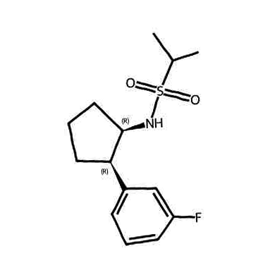 CC(C)S(=O)(=O)N[C@@H]1CCC[C@@H]1c1cccc(F)c1